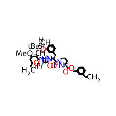 C=CCC[C@@H](OC)[C@@H](C)C(=O)N[C@H](C(=O)N[C@@H](Cc1cccc(O[SiH](C)C(C)(C)C)c1)C(=O)N1CCC[C@@H](C(=O)OCc2cccc(C=C)c2)N1)C(C)C